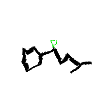 CC(C)=C/C=C(\Cl)c1ccccc1